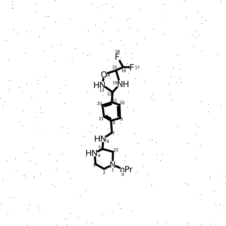 CCCN1CCNC(NCc2ccc(C3NOC(C(F)F)N3)cc2)C1